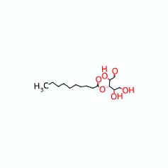 CCCCCCCCCC(=O)O[C@@H]([C@H](O)CO)[C@@H](O)C=O